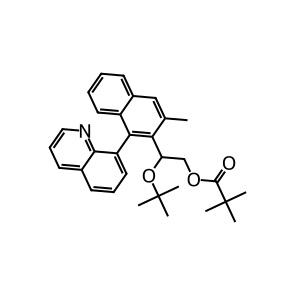 Cc1cc2ccccc2c(-c2cccc3cccnc23)c1C(COC(=O)C(C)(C)C)OC(C)(C)C